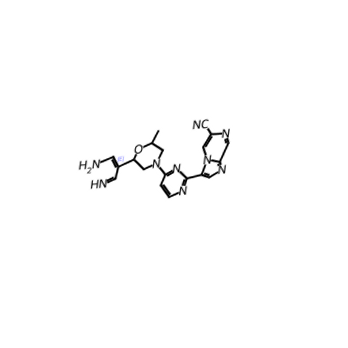 CC1CN(c2ccnc(-c3cnc4cnc(C#N)cn34)n2)CC(/C(C=N)=C/N)O1